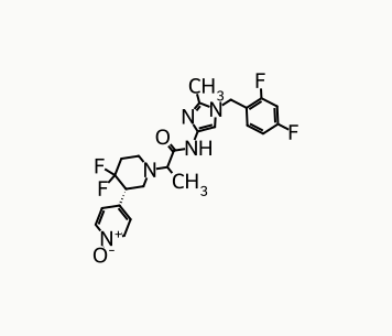 Cc1nc(NC(=O)C(C)N2CCC(F)(F)[C@@H](c3cc[n+]([O-])cc3)C2)cn1Cc1ccc(F)cc1F